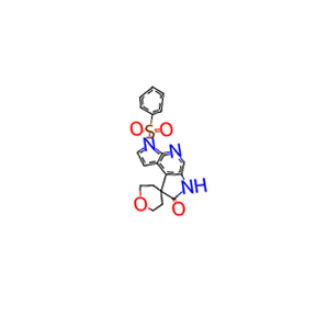 O=C1Nc2cnc3c(ccn3S(=O)(=O)c3ccccc3)c2C12CCOCC2